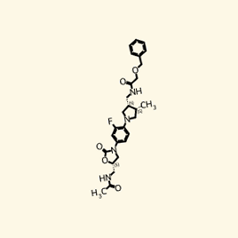 CC(=O)NC[C@H]1CN(c2ccc(N3C[C@H](CNC(=O)COCc4ccccc4)[C@H](C)C3)c(F)c2)C(=O)O1